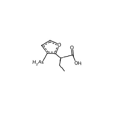 CCC(C(=O)O)c1occc1[AsH2]